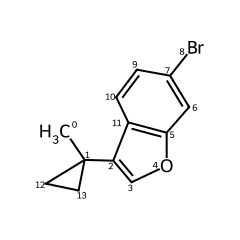 CC1(c2coc3cc(Br)ccc23)CC1